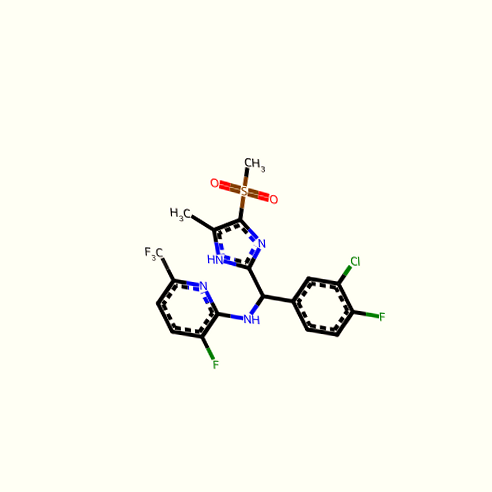 Cc1[nH]c(C(Nc2nc(C(F)(F)F)ccc2F)c2ccc(F)c(Cl)c2)nc1S(C)(=O)=O